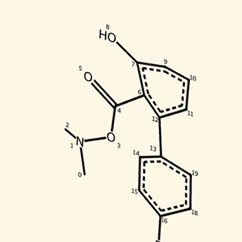 CN(C)OC(=O)c1c(O)cccc1-c1ccc(Br)cc1